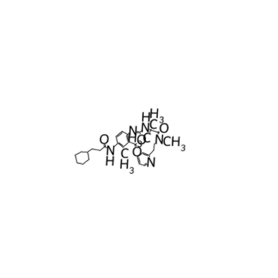 Cc1c(NC(=O)CCC2CCCCC2)ccc2nc(NC(C)(C)C(=O)N(C)CCc3ccccn3)oc(=O)c12